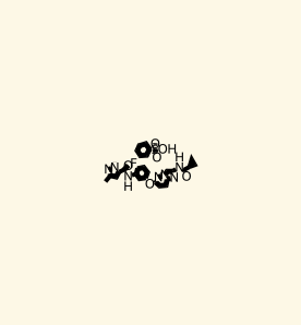 Cc1cc(C(=O)Nc2cc(Oc3ccc4nc(NC(=O)C5CC5)cn4n3)ccc2F)n(C)n1.O=S(=O)(O)c1ccccc1